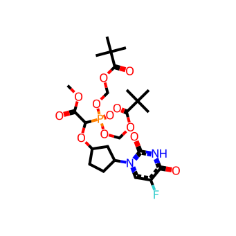 COC(=O)C(OC1CCC(n2cc(F)c(=O)[nH]c2=O)C1)P(=O)(OCOC(=O)C(C)(C)C)OCOC(=O)C(C)(C)C